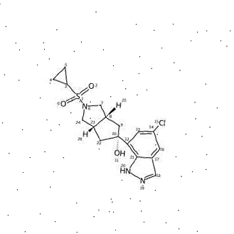 O=S(=O)(C1CC1)N1C[C@@H]2C[C@@](O)(c3cc(Cl)cc4cn[nH]c34)C[C@@H]2C1